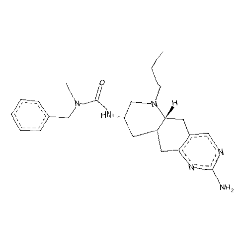 CCCN1C[C@@H](NC(=O)N(C)Cc2ccccc2)CC2Cc3nc(N)ncc3C[C@H]21